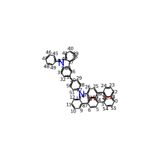 c1ccc(-c2ccc(-c3ccccc3N(c3ccc(-c4ccccc4)cc3)c3ccc(-c4ccc5c(c4)c4ccccc4n5-c4ccccc4)cc3)cc2)cc1